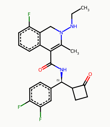 CCNN1Cc2c(F)cccc2C(C(=O)N[C@H](c2ccc(F)c(F)c2)C2CCC2=O)=C1C